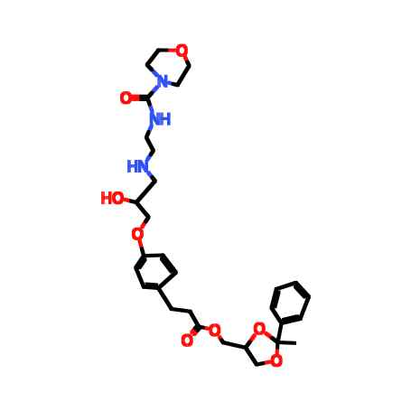 CC1(c2ccccc2)OCC(COC(=O)CCc2ccc(OCC(O)CNCCNC(=O)N3CCOCC3)cc2)O1